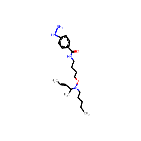 CC=CC(C)N(CCCCC)OCCCCNC(=O)c1ccc(NN)cc1